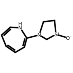 [O-][S+]1CCN(C2=CC=CC=CN2)C1